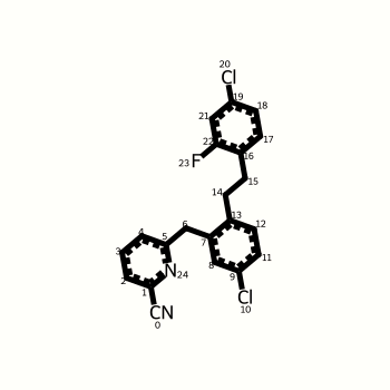 N#Cc1cccc(Cc2cc(Cl)ccc2CCc2ccc(Cl)cc2F)n1